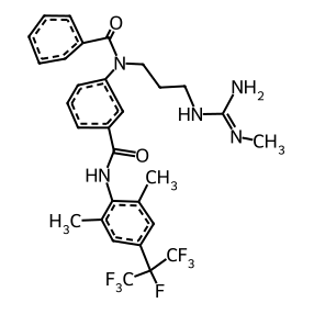 C/N=C(\N)NCCCN(C(=O)c1ccccc1)c1cccc(C(=O)Nc2c(C)cc(C(F)(C(F)(F)F)C(F)(F)F)cc2C)c1